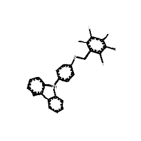 Ic1c(I)c(I)c(COc2ccc([SH]3c4ccccc4-c4ccccc43)cc2)c(I)c1I